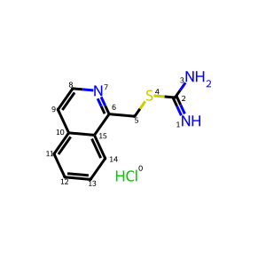 Cl.N=C(N)SCc1nccc2ccccc12